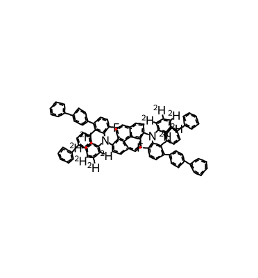 [2H]c1c([2H])c([2H])c(N(c2c(F)ccc(-c3ccc(-c4ccccc4)cc3)c2-c2ccc(-c3ccccc3)cc2)c2ccc3ccc4c(N(c5c([2H])c([2H])c([2H])c([2H])c5[2H])c5c(F)ccc(-c6ccc(-c7ccccc7)cc6)c5-c5ccc(-c6ccccc6)cc5)ccc5ccc2c3c54)c([2H])c1[2H]